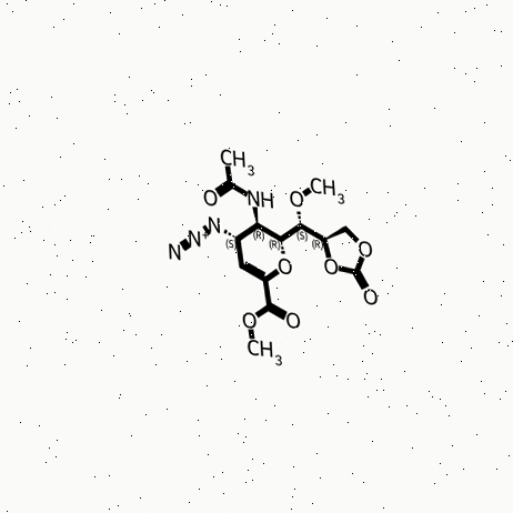 COC(=O)C1=C[C@H](N=[N+]=[N-])[C@@H](NC(C)=O)[C@H]([C@H](OC)[C@H]2COC(=O)O2)O1